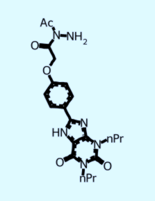 CCCn1c(=O)c2[nH]c(-c3ccc(OCC(=O)N(N)C(C)=O)cc3)nc2n(CCC)c1=O